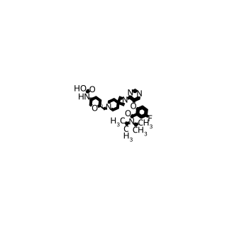 CC(C)N(C(=O)c1cc(F)ccc1Oc1cncnc1N1CC2(CCN(C[C@@H]3CC[C@@H](NC(=O)O)CO3)CC2)C1)C(C)C